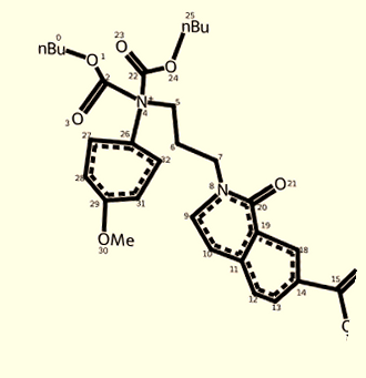 CCCCOC(=O)[N+](CCCn1ccc2ccc(C(=O)OC)cc2c1=O)(C(=O)OCCCC)c1ccc(OC)cc1